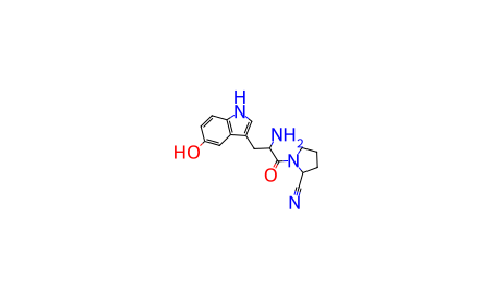 N#CC1CCCN1C(=O)C(N)Cc1c[nH]c2ccc(O)cc12